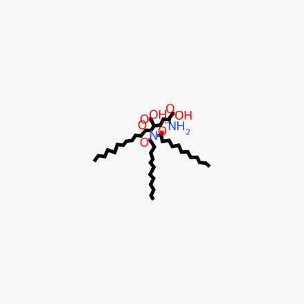 CCCCCCCCCCCC(=O)C(C(CC[C@H](N)C(=O)O)C(=O)O)N(C(=O)CCCCCCCCCCC)C(=O)CCCCCCCCCCC